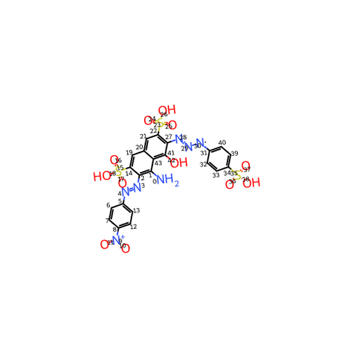 Nc1c(N=Nc2ccc([N+](=O)[O-])cc2)c(S(=O)(=O)O)cc2cc(S(=O)(=O)O)c(N=N[N]c3ccc(S(=O)(=O)O)cc3)c(O)c12